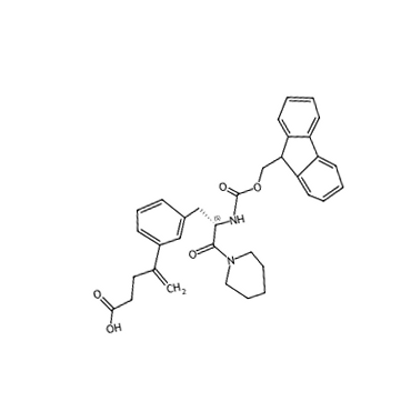 C=C(CCC(=O)O)c1cccc(C[C@H](NC(=O)OCC2c3ccccc3-c3ccccc32)C(=O)N2CCCCC2)c1